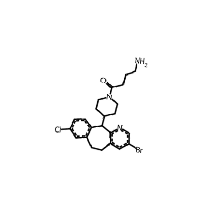 NCCCC(=O)N1CCC(C2c3ccc(Cl)cc3CCc3cc(Br)cnc32)CC1